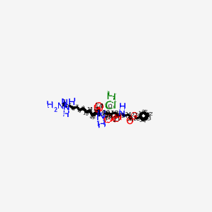 Cl.N=C(N)NCCCCCCCCC(=O)NC[C@@H](O)CC(=O)NCCC(=O)OCc1ccccc1